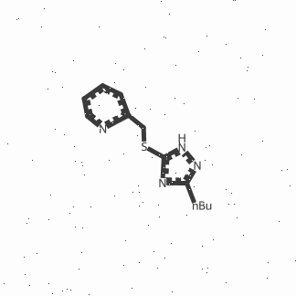 CCCCc1n[nH]c(SCc2ccccn2)n1